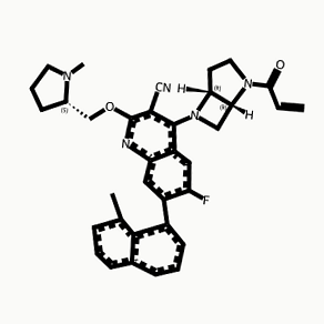 C=CC(=O)N1CC[C@@H]2[C@H]1CN2c1c(C#N)c(OC[C@@H]2CCCN2C)nc2cc(-c3cccc4cccc(C)c34)c(F)cc12